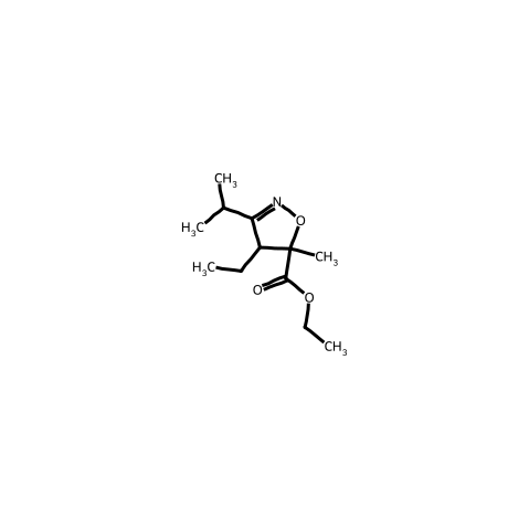 CCOC(=O)C1(C)ON=C(C(C)C)C1CC